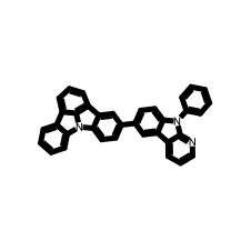 c1ccc(-n2c3ccc(-c4ccc5c(c4)c4cccc6c7ccccc7n5c64)cc3c3cccnc32)cc1